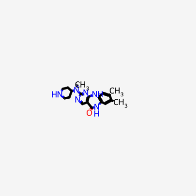 Cc1cc2c(cc1C)Nc1nc(N(C)C3CCNCC3)ncc1C(=O)N2